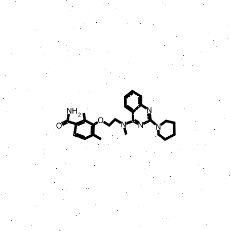 Cc1ccc(C(N)=O)c(C)c1OCCN(C)c1nc(N2CCCCC2)nc2ccccc12